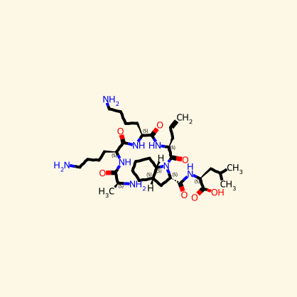 C=CC[C@H](NC(=O)[C@H](CCCCN)NC(=O)[C@H](CCCCN)NC(=O)[C@H](C)N)C(=O)N1[C@H](C(=O)N[C@@H](CC(C)C)C(=O)O)C[C@@H]2CCCC[C@@H]21